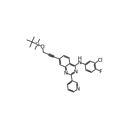 CC(C)(C)[Si](C)(C)OCC#Cc1ccc2c(Nc3ccc(F)c(Cl)c3)nc(-c3cccnc3)nc2c1